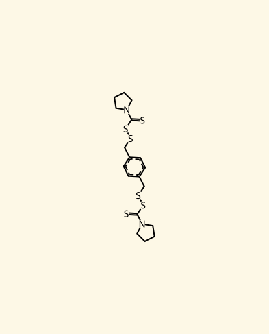 S=C(SSCc1ccc(CSSC(=S)N2CCCC2)cc1)N1CCCC1